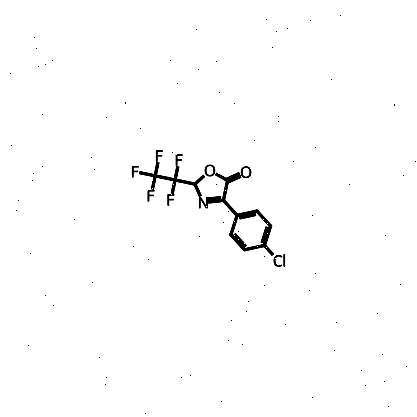 O=C1OC(C(F)(F)C(F)(F)F)N=C1c1ccc(Cl)cc1